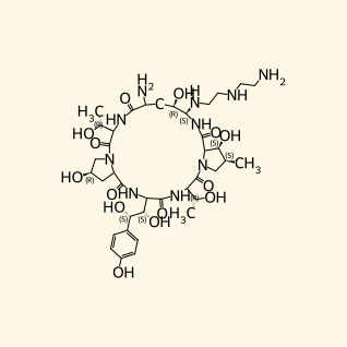 C[C@@H](O)C1NC(=O)C(N)C[C@@H](O)[C@@H](NCCNCCN)NC(=O)C2[C@@H](O)[C@@H](C)CN2C(=O)C([C@@H](C)O)NC(=O)C([C@H](O)[C@@H](O)c2ccc(O)cc2)NC(=O)C2C[C@@H](O)CN2C1=O